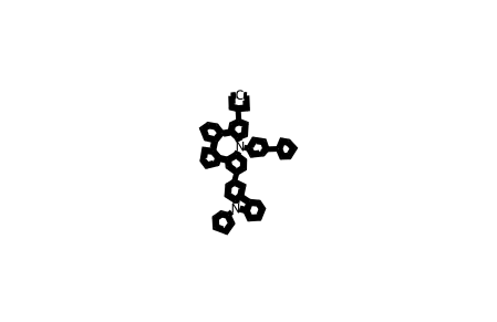 c1ccc(-c2ccc(-n3c4ccc(-c5ccccc5)cc4c4ccccc4c4ccccc4c4cc(-c5ccc6c(c5)c5ccccc5n6-c5ccccc5)ccc43)cc2)cc1